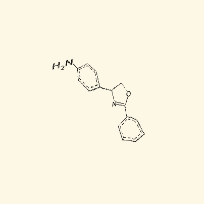 Nc1ccc(C2COC(c3ccccc3)=N2)cc1